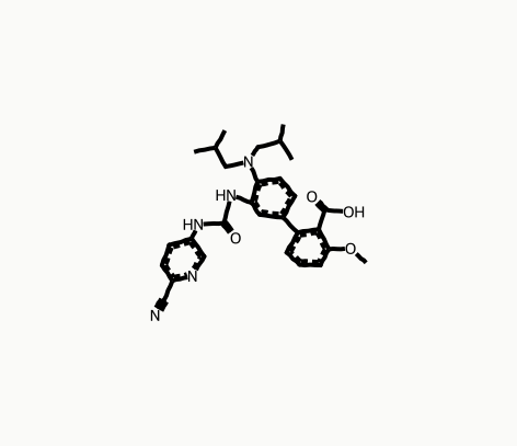 COc1cccc(-c2ccc(N(CC(C)C)CC(C)C)c(NC(=O)Nc3ccc(C#N)nc3)c2)c1C(=O)O